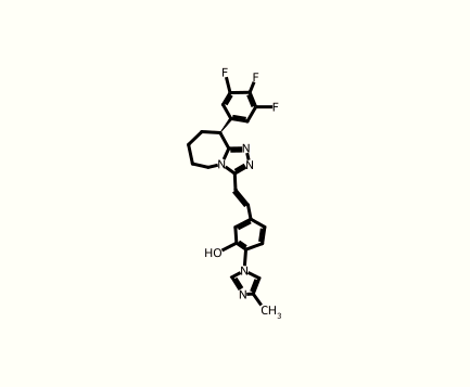 Cc1cn(-c2ccc(/C=C/c3nnc4n3CCCC[C@H]4c3cc(F)c(F)c(F)c3)cc2O)cn1